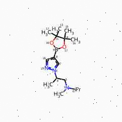 CC(C)N(C)CC(C)n1cc(B2OC(C)(C)C(C)(C)O2)cn1